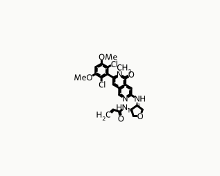 C=CC(=O)N[C@H]1COC[C@H]1Nc1cc2c(=O)n(C)c(-c3c(Cl)c(OC)cc(OC)c3Cl)cc2cn1